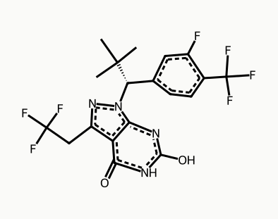 CC(C)(C)[C@H](c1ccc(C(F)(F)F)c(F)c1)n1nc(CC(F)(F)F)c2c(=O)[nH]c(O)nc21